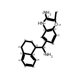 CC1=C(N)Nc2cc(C(N)C3CCCc4ccccc43)ccc2O1